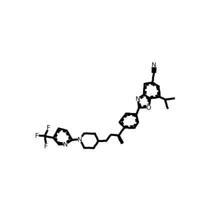 C=C(CCC1CCN(c2ccc(C(F)(F)F)cn2)CC1)c1ccc(-c2nc3cc(C#N)cc(C(C)C)c3o2)cc1